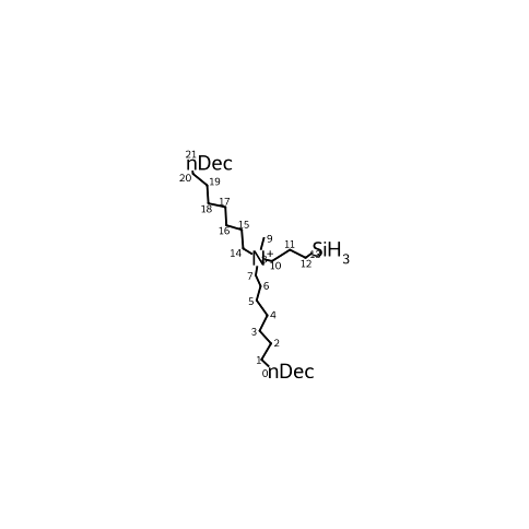 CCCCCCCCCCCCCCCCC[N+](C)(CCC[SiH3])CCCCCCCCCCCCCCCCC